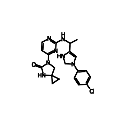 CC(Nc1nccc(N2CC3(CC3)NC2=O)n1)C1=CN(c2ccc(Cl)cc2)CN1